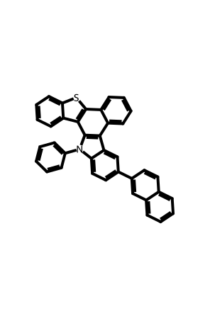 c1ccc(-n2c3ccc(-c4ccc5ccccc5c4)cc3c3c4ccccc4c4sc5ccccc5c4c32)cc1